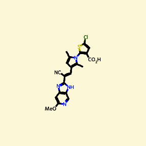 COc1cc2nc(/C(C#N)=C/c3cc(C)n(-c4sc(Cl)cc4C(=O)O)c3C)[nH]c2cn1